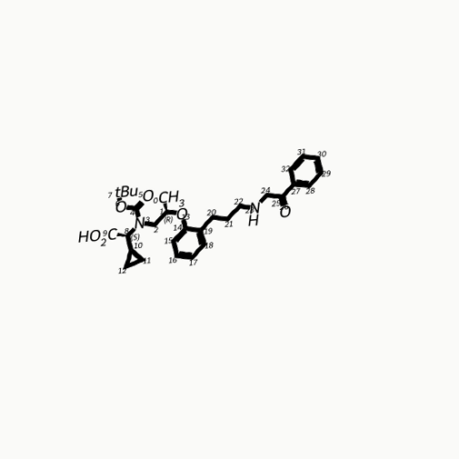 C[C@H](CN(C(=O)OC(C)(C)C)[C@H](C(=O)O)C1CC1)Oc1ccccc1CCCNCC(=O)c1ccccc1